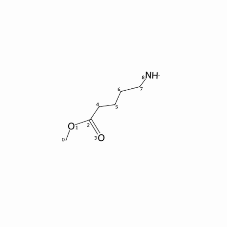 COC(=O)CCCC[NH]